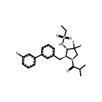 CCS(=O)(=O)N[C@@H]1[C@H](Cc2cccc(-c3cccc(F)c3)c2)N(C(=O)C(C)C)CC1(F)F